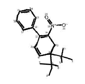 CC(C)(C)C1(C(C)(C)C)C=CC(c2ccccc2)=C([N+](=O)[O-])C1